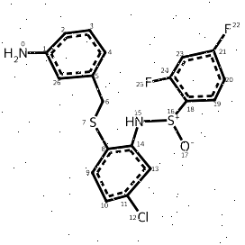 Nc1cccc(CSc2ccc(Cl)cc2N[S+]([O-])c2ccc(F)cc2F)c1